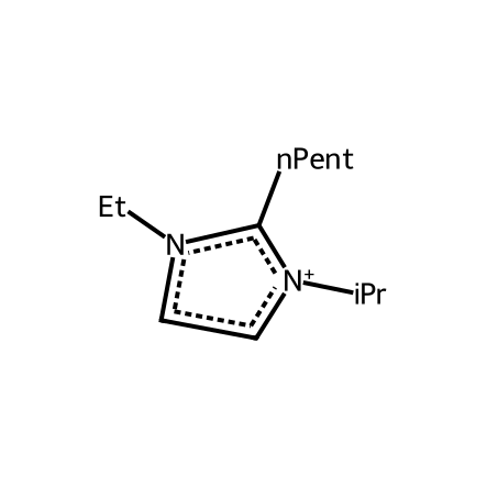 CCCCCc1n(CC)cc[n+]1C(C)C